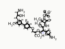 C[n+]1cc(-c2ccc(OC[C@H](O/N=C(\C(=O)N[C@@H]3C(=O)N(OS(=O)(=O)[O-])C3(C)C)c3csc(N)n3)C(=O)O)cc2F)cn1CC(O)CN